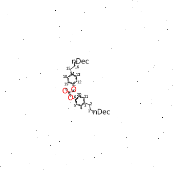 CCCCCCCCCCCCc1ccc(OC(=O)Oc2ccc(CCCCCCCCCCCC)cc2)cc1